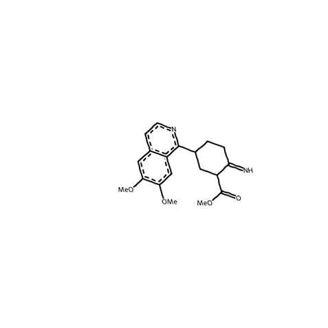 COC(=O)C1CC(c2nccc3cc(OC)c(OC)cc23)CCC1=N